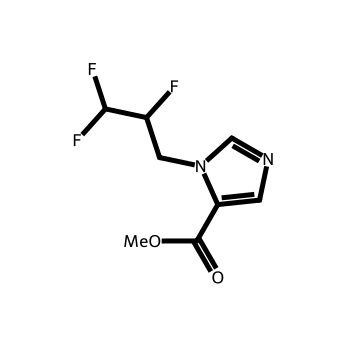 COC(=O)c1cncn1CC(F)C(F)F